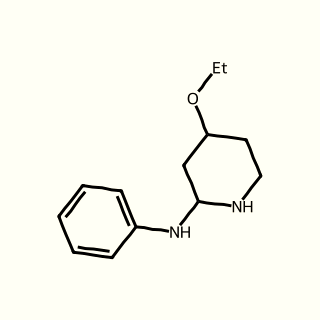 CCOC1CCNC(Nc2ccccc2)C1